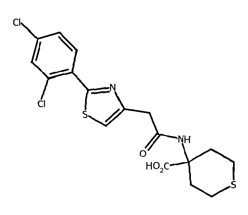 O=C(Cc1csc(-c2ccc(Cl)cc2Cl)n1)NC1(C(=O)O)CCSCC1